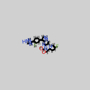 O=C1OCC(c2ccc(F)cn2)N1c1ccn2ncc(-c3ccc(-c4nc[nH]n4)c(F)c3)c2n1